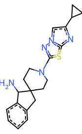 NC1c2ccccc2CC12CCN(c1nn3cc(C4CC4)nc3s1)CC2